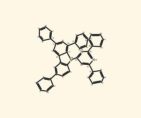 c1ccc(-c2ccc3c(c2)c2cc(-c4ccccc4)cc(-c4ccccc4)c2n3-c2cc(-c3ccccc3)nc(-c3ccccc3)n2)cc1